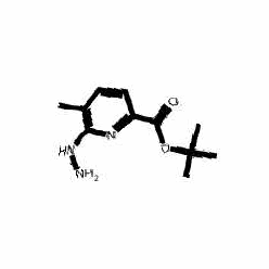 Cc1ccc(C(=O)OC(C)(C)C)nc1NN